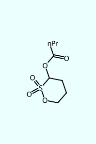 CCCC(=O)OC1CCCOS1(=O)=O